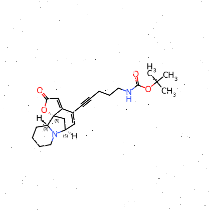 CC(C)(C)OC(=O)NCCCC#CC1=C[C@@H]2C[C@@]3(OC(=O)C=C13)[C@H]1CCCCN21